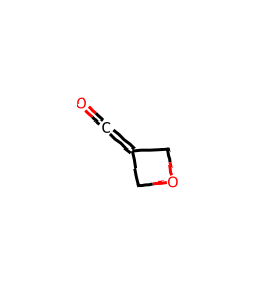 O=C=C1COC1